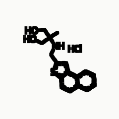 CC(CO)(CO)NCc1cc2c(ccc3ccccc32)s1.Cl